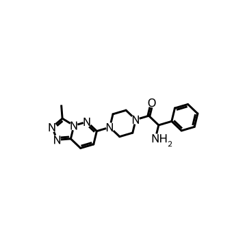 Cc1nnc2ccc(N3CCN(C(=O)C(N)c4ccccc4)CC3)nn12